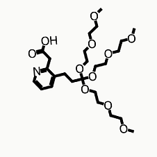 COCCOCCOC(CCc1cccnc1CC(=O)O)(OCCOCCOC)OCCOCCOC